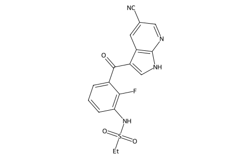 CCS(=O)(=O)Nc1cccc(C(=O)c2c[nH]c3ncc(C#N)cc23)c1F